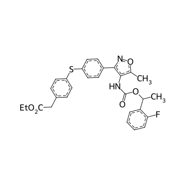 CCOC(=O)Cc1ccc(Sc2ccc(-c3noc(C)c3NC(=O)OC(C)c3ccccc3F)cc2)cc1